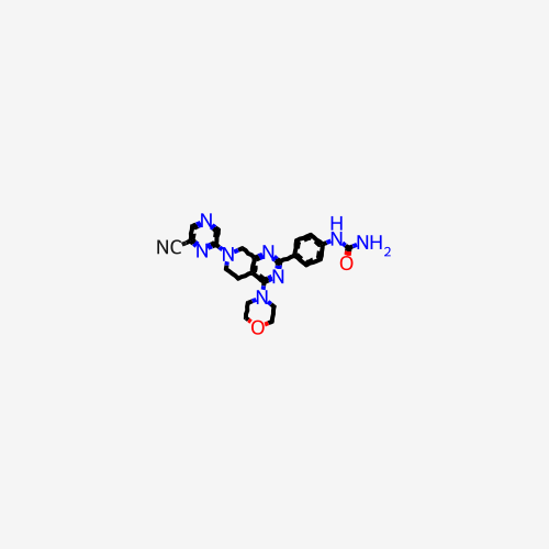 N#Cc1cncc(N2CCc3c(nc(-c4ccc(NC(N)=O)cc4)nc3N3CCOCC3)C2)n1